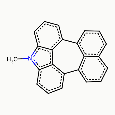 Cn1c2cccc3c2c2c(cccc21)-c1cccc2cccc-3c12